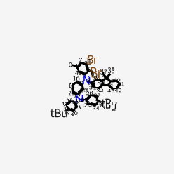 Cc1cc(Br)c(Br)c(N(c2cccc(N(c3ccc(C(C)(C)C)cc3)c3ccc(C(C)(C)C)cc3)c2)c2ccc3c(c2)C(C)(C)c2ccccc2-3)c1